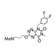 CNCCCOc1nnc2c(n1)c(=O)n(C)c(=O)n2Cc1ccc(F)c(F)c1